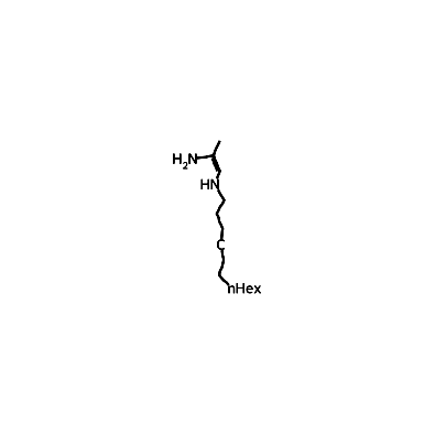 CCCCCCCCCCCCNC=C(C)N